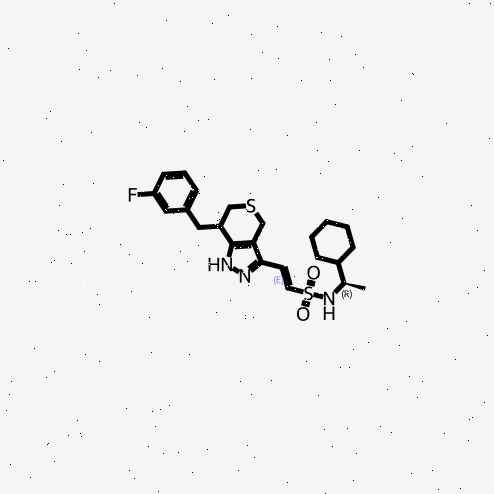 C[C@@H](NS(=O)(=O)/C=C/c1n[nH]c2c1CSCC2Cc1cccc(F)c1)C1CCCCC1